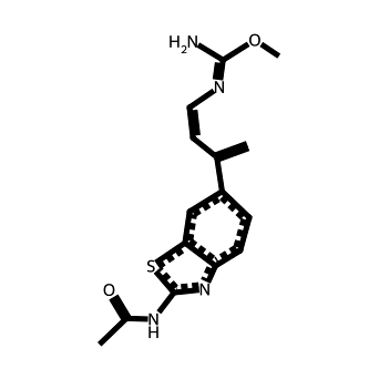 C=C(/C=C\N=C(/N)OC)c1ccc2nc(NC(C)=O)sc2c1